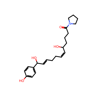 O=C(CCCC(O)/C=C\CC/C=C/C(O)c1ccc(O)cc1)N1CCCC1